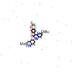 CN/C=C1/C=C(n2nc3ccc(OCC(C)C)nc3c(-c3ccc(OC(F)F)cc3)c2=O)C=CC1=N